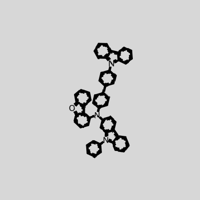 c1ccc(-n2c3ccccc3c3ccc(N(c4ccc(-c5ccc(-n6c7ccccc7c7ccccc76)cc5)cc4)c4cccc5oc6ccccc6c45)cc32)cc1